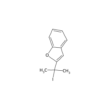 CC(C)(I)c1cc2ccccc2o1